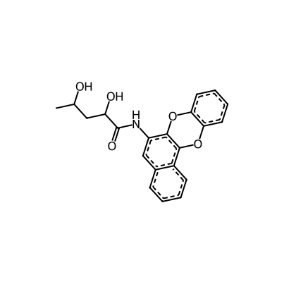 CC(O)CC(O)C(=O)Nc1cc2ccccc2c2c1Oc1ccccc1O2